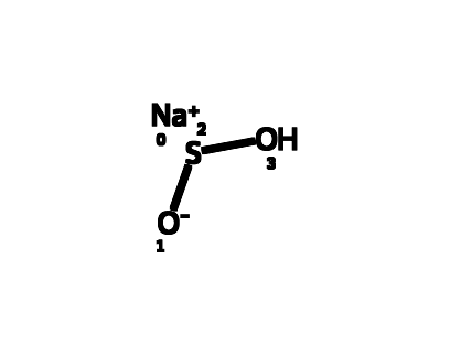 [Na+].[O-]SO